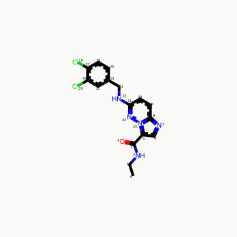 CCNC(=O)c1cnc2ccc(NCc3ccc(Cl)c(Cl)c3)nn12